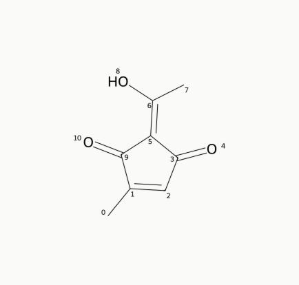 CC1=CC(=O)C(=C(C)O)C1=O